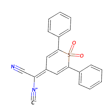 [C-]#[N+]C(C#N)=C1C=C(c2ccccc2)S(=O)(=O)C(c2ccccc2)=C1